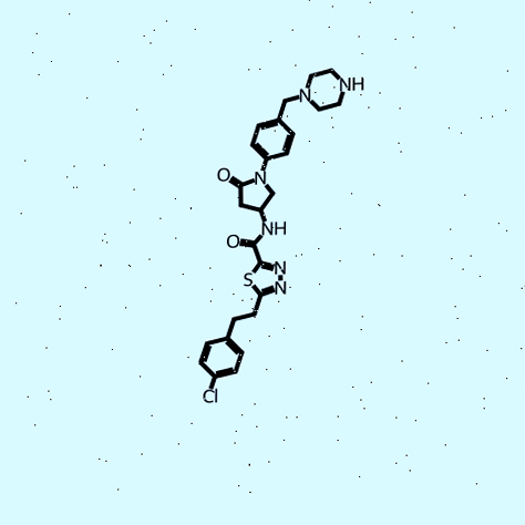 O=C(NC1CC(=O)N(c2ccc(CN3CCNCC3)cc2)C1)c1nnc(CCc2ccc(Cl)cc2)s1